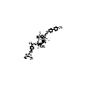 CCN(CCOC(=O)C(C)(CC(C)(CC)C(CC)(CC)C(C)(CC(C)(CC)CC)C(=O)OCCOc1ccc(-c2ccc(C#N)cc2)cc1)C(C)(C)C)c1ccc(/N=N/c2nc(C#N)c(C#N)[nH]2)cc1